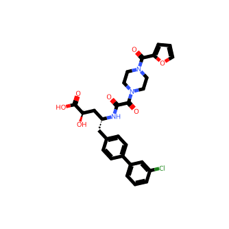 O=C(N[C@H](Cc1ccc(-c2cccc(Cl)c2)cc1)C[C@@H](O)C(=O)O)C(=O)N1CCN(C(=O)c2ccco2)CC1